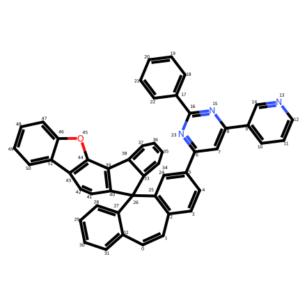 C1=Cc2ccc(-c3cc(-c4cccnc4)nc(-c4ccccc4)n3)cc2C2(c3ccccc31)c1ccccc1-c1c2ccc2c1oc1ccccc12